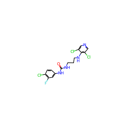 O=C(NCCCNc1c(Cl)cncc1Cl)Nc1ccc(Cl)c(F)c1